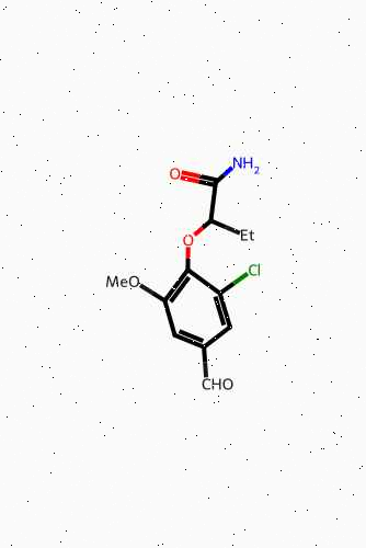 CCC(Oc1c(Cl)cc(C=O)cc1OC)C(N)=O